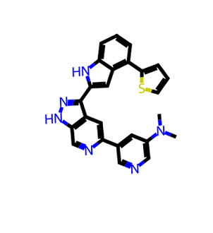 CN(C)c1cncc(-c2cc3c(-c4cc5c(-c6cccs6)cccc5[nH]4)n[nH]c3cn2)c1